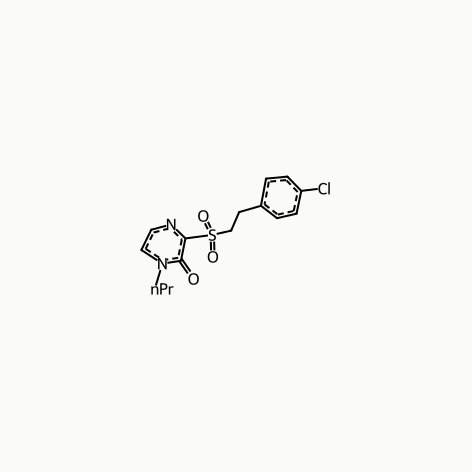 CCCn1ccnc(S(=O)(=O)CCc2ccc(Cl)cc2)c1=O